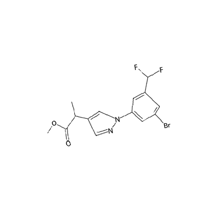 COC(=O)C(C)c1cnn(-c2cc(Br)cc(C(F)F)c2)c1